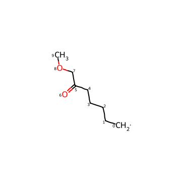 [CH2]CCCCC(=O)COC